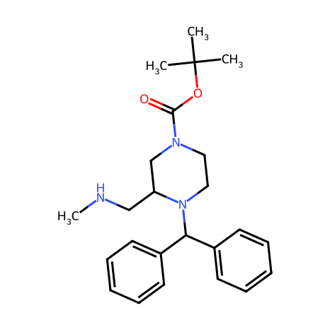 CNCC1CN(C(=O)OC(C)(C)C)CCN1C(c1ccccc1)c1ccccc1